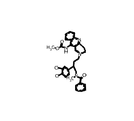 COC(=O)Nc1c2c(nc3ccccc13)CCN(CCC(CN(C)C(=O)c1ccccc1)c1ccc(Cl)c(Cl)c1)C2